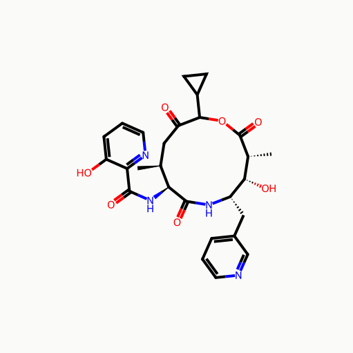 C[C@H]1CC(=O)C(C2CC2)OC(=O)[C@H](C)[C@H](O)[C@H](Cc2cccnc2)NC(=O)[C@H]1NC(=O)c1ncccc1O